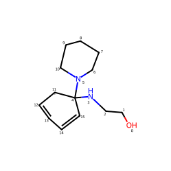 OCCNC1(N2CCCCC2)[CH]C=CC=C1